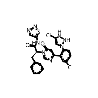 O=C(Nc1cnns1)[C@H](Cc1ccccc1)n1cnc(-c2cc(Cl)ccc2N2C=C(Cl)NN2)cc1=O